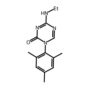 CCNc1ncn(-c2c(C)cc(C)cc2C)c(=O)n1